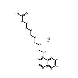 O=C(O)CCCCCCCCCCc1cccc2ccccc12.[KH]